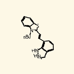 CCCC[n+]1c(/C=C/c2cccc3c2NNC3)sc2ccccc21